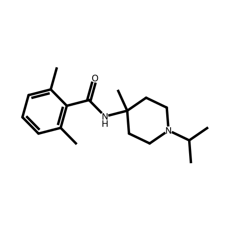 Cc1cccc(C)c1C(=O)NC1(C)CCN(C(C)C)CC1